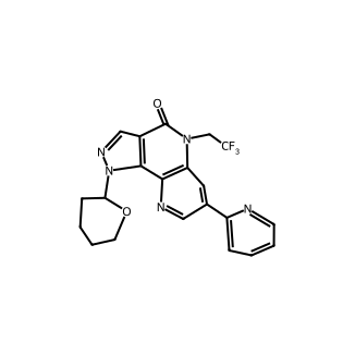 O=c1c2cnn(C3CCCCO3)c2c2ncc(-c3ccccn3)cc2n1CC(F)(F)F